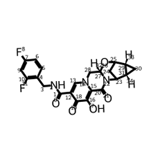 O=C(NCc1ccc(F)cc1F)c1cn2c(c(O)c1=O)C(=O)N1C3CC(O[C@H]1C2)[C@@H]1C[C@H]31